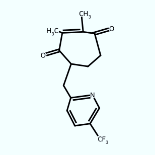 CC1=C(C)C(=O)C(Cc2ccc(C(F)(F)F)cn2)CCC1=O